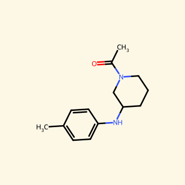 CC(=O)N1CCCC(Nc2ccc(C)cc2)C1